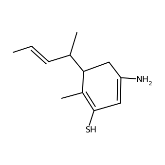 CC=CC(C)C1CC(N)=CC(S)=C1C